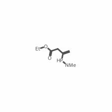 C=C(CC(=O)OCC)PNC